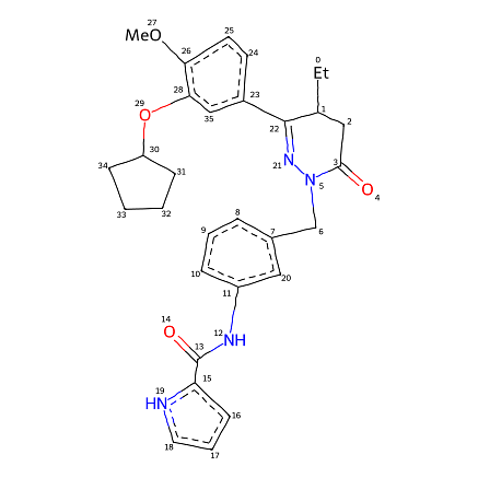 CCC1CC(=O)N(Cc2cccc(NC(=O)c3ccc[nH]3)c2)N=C1c1ccc(OC)c(OC2CCCC2)c1